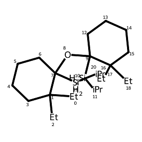 CCC1(CC)CCCCC1(OC1([SiH2]C(C)C)CCCCC1(CC)CC)[SiH2]C(C)C